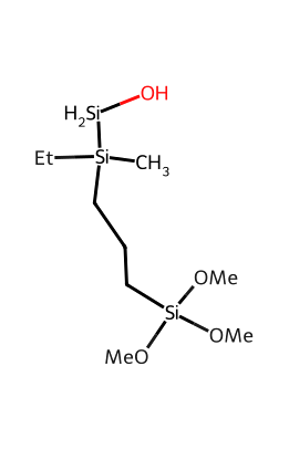 CC[Si](C)(CCC[Si](OC)(OC)OC)[SiH2]O